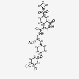 CC(=O)O[C@H](CNC(=O)c1c[nH]c(=O)c2cc(S(=O)(=O)N3CCC3)ccc12)CN1CCC(Oc2ccc(Cl)c(Cl)c2)CC1